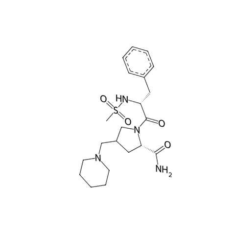 CS(=O)(=O)N[C@H](Cc1ccccc1)C(=O)N1CC(CN2CCCCC2)C[C@H]1C(N)=O